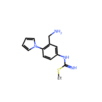 CCSC(=N)Nc1ccc(-n2cccc2)c(CN)c1